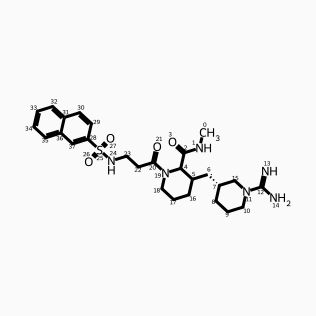 CNC(=O)C1C([CH][C@H]2CCCN(C(=N)N)C2)CCCN1C(=O)CCNS(=O)(=O)c1ccc2ccccc2c1